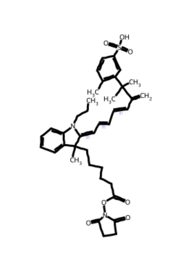 C=C(/C=C/C=C/C=C1\N(CCC)c2ccccc2C1(C)CCCCCC(=O)ON1C(=O)CCC1=O)C(C)(C)c1cc(S(=O)(=O)O)ccc1C